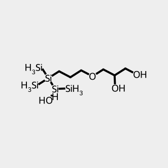 OCC(O)COCCC[Si]([SiH3])([SiH3])[SiH](O)[SiH3]